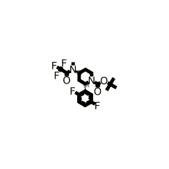 CN(C(=O)C(F)(F)F)[C@H]1CCN(C(=O)OC(C)(C)C)[C@H](c2cc(F)ccc2F)C1